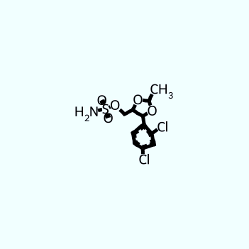 CC1OC(COS(N)(=O)=O)C(c2ccc(Cl)cc2Cl)O1